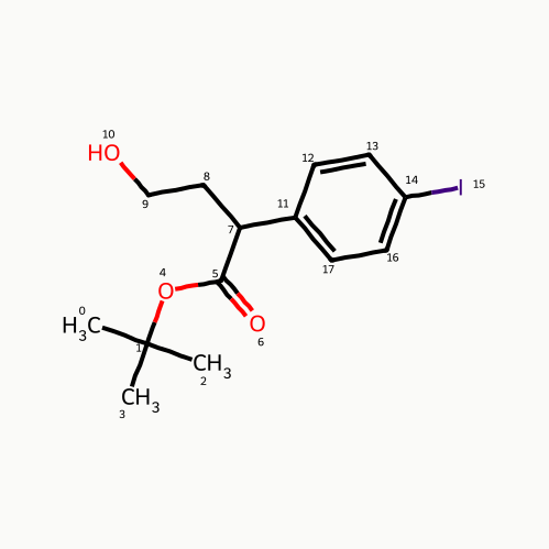 CC(C)(C)OC(=O)C(CCO)c1ccc(I)cc1